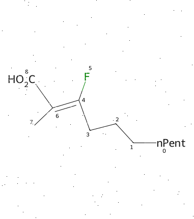 CCCCCCCCC(F)=C(C)C(=O)O